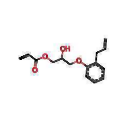 C=CCc1ccccc1OCC(O)COC(=O)C=C